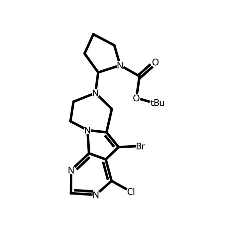 CC(C)(C)OC(=O)N1CCCC1N1CCn2c(c(Br)c3c(Cl)ncnc32)C1